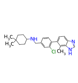 Cc1c(-c2ccc(CNC3CCC(C)(C)CC3)cc2Cl)ccc2nc[nH]c12